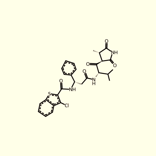 CC(C)[C@H](NC(=O)C[C@H](NC(=O)c1sc2ccccc2c1Cl)c1ccccc1)C(=O)[C@@H]1C(=O)NC(=O)[C@H]1C